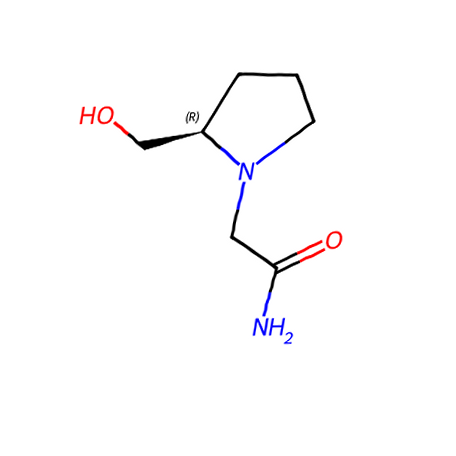 NC(=O)CN1CCC[C@@H]1CO